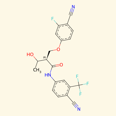 CC(O)[C@@H](COc1ccc(C#N)c(F)c1)C(=O)Nc1ccc(C#N)c(C(F)(F)F)c1